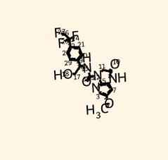 COc1cnc2c(c1)NC(=O)CN2C(=O)NC(CO)c1ccc(C(F)(F)CF)cc1